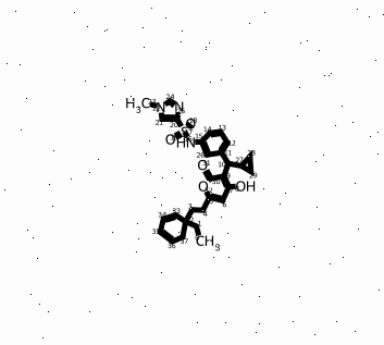 CCC1(CCc2cc(O)c(C(c3cccc(NS(=O)(=O)c4cn(C)cn4)c3)C3CC3)c(=O)o2)C=CC=CC1